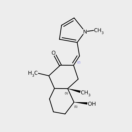 CC1C(=O)/C(=C\c2cccn2C)C[C@@]2(C)C1CCC[C@@H]2O